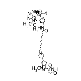 CC(C)n1nc(-c2noc(C3CC3)c2-c2ccc(CNC(=O)CCCCCCCCCN3CCC(c4ccc5c(N6CCC(=O)NC6=O)nn(C)c5c4)CC3)cn2)c2c(N)ncnc21